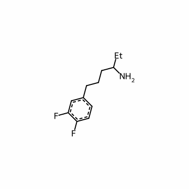 CCC(N)CCCc1ccc(F)c(F)c1